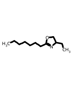 CCCCCCCC1=NC(CC)CO1